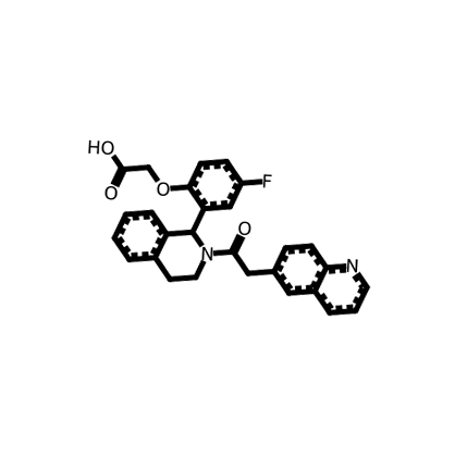 O=C(O)COc1ccc(F)cc1C1c2ccccc2CCN1C(=O)Cc1ccc2ncccc2c1